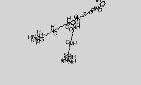 CC(C)c1cccc(C(=O)NCCOCCOCCNC(=O)c2cc(NC(=O)CCCCCC(=O)NCCCC[C@@H]3SC[C@@H]4NC(=N)N[C@@H]43)cc(NC(=O)CCCCCC(=O)NCCCC[C@@H]3SC[C@@H]4NC(=N)N[C@@H]43)c2)c1